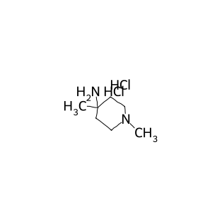 CN1CCC(C)(N)CC1.Cl.Cl